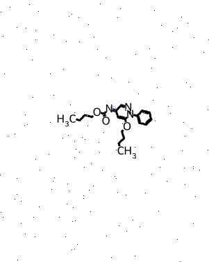 CCCCOC(=O)/N=c1/cnn(-c2ccccc2)c(OCCCC)c1